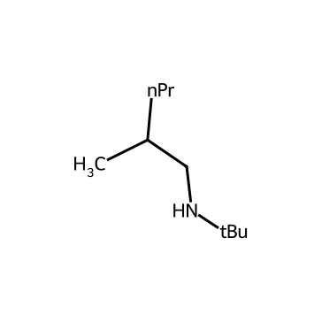 CCCC(C)CNC(C)(C)C